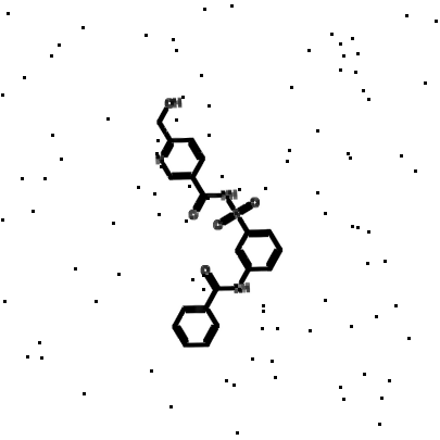 O=C(Nc1cccc(S(=O)(=O)NC(=O)c2ccc(CO)nc2)c1)c1ccccc1